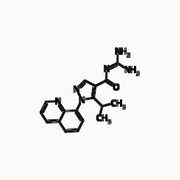 CC(C)c1c(C(=O)N=C(N)N)cnn1-c1cccc2cccnc12